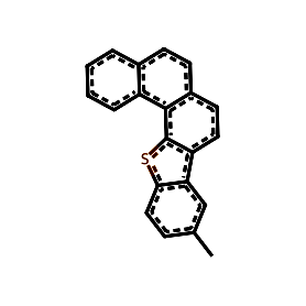 Cc1ccc2sc3c(ccc4ccc5ccccc5c43)c2c1